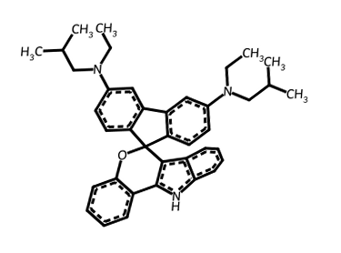 CCN(CC(C)C)c1ccc2c(c1)-c1cc(N(CC)CC(C)C)ccc1C21Oc2ccccc2-c2[nH]c3ccccc3c21